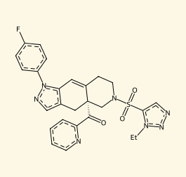 CCn1nncc1S(=O)(=O)N1CCC2=Cc3c(cnn3-c3ccc(F)cc3)C[C@]2(C(=O)c2ccccn2)C1